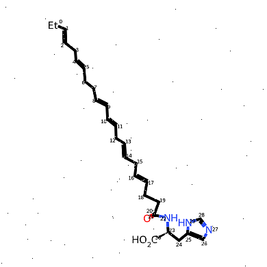 CCC=CCC=CCCC=CC=CCC=CCC=CCCC(=O)N[C@@H](Cc1cnc[nH]1)C(=O)O